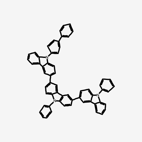 c1ccc(-c2ccc(-n3c4ccccc4c4cc(-c5ccc6c(c5)c5cc(-c7ccc8c(c7)c7ccccc7n8-c7ccccc7)ccc5n6-c5ccccc5)ccc43)cc2)cc1